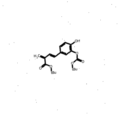 C=C(C=Cc1ccc(O)c(OC(=O)OC(C)(C)C)c1)C(=O)OC(C)(C)C